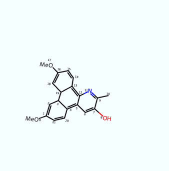 COC1=CC2C(=c3cc(O)c(C)nc3=C3C=CC(OC)=CC32)C=C1